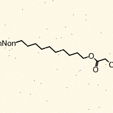 CCCCCCCCCCCCCCCCCCCOC(=O)CCl